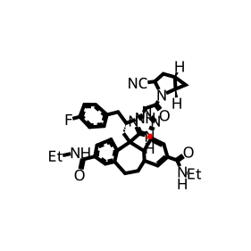 CCNC(=O)C1=CC2CCc3cc(C(=O)NCC)ccc3C(C[C@H](Cc3ccc(F)cc3)NCC(=O)N3C(C#N)C[C@@H]4C[C@@H]43)(c3nnn[nH]3)C2C=C1